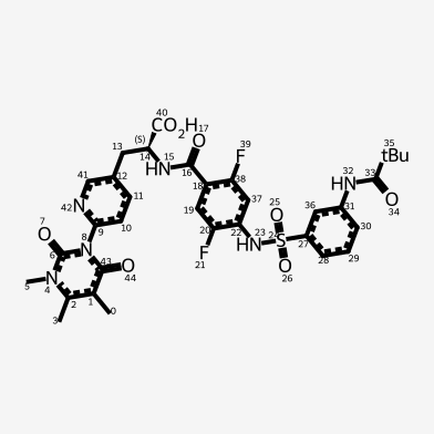 Cc1c(C)n(C)c(=O)n(-c2ccc(C[C@H](NC(=O)c3cc(F)c(NS(=O)(=O)c4cccc(NC(=O)C(C)(C)C)c4)cc3F)C(=O)O)cn2)c1=O